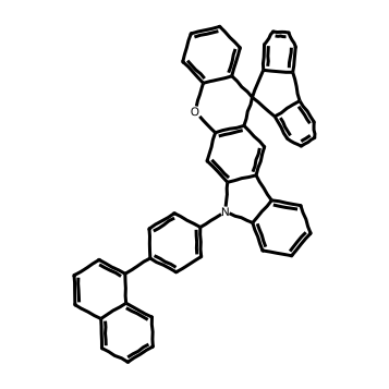 c1ccc2c(c1)Oc1cc3c(cc1C21c2ccccc2-c2ccccc21)c1ccccc1n3-c1ccc(-c2cccc3ccccc23)cc1